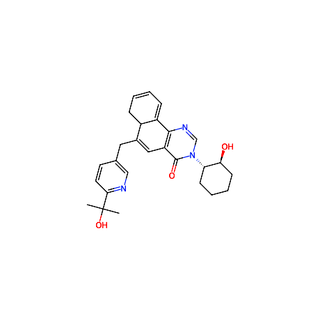 CC(C)(O)c1ccc(CC2=Cc3c(ncn([C@H]4CCCC[C@@H]4O)c3=O)C3=CC=CCC23)cn1